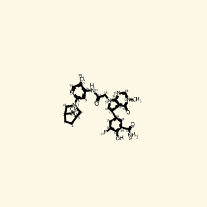 CN1C2CCC1CN(c1cc(NC(=O)Cn3cc(-c4cc(F)c(O)c(C(N)=O)c4)c4c(=O)n(C)cnc43)c(Cl)cn1)C2